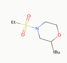 CCS(=O)(=O)N1CCOC(C(C)(C)C)C1